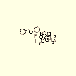 CC1(C)OB(c2cccc(OCc3ccccc3)c2F)OC1(C)C